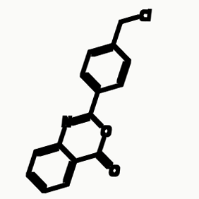 O=c1oc(-c2ccc(CCl)cc2)nc2ccccc12